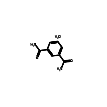 NC(=O)c1cccc(C(N)=O)c1.O